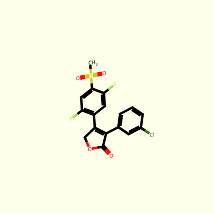 CS(=O)(=O)c1cc(F)c(C2=C(c3cccc(Cl)c3)C(=O)OC2)cc1F